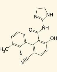 Cc1cccc(-c2c(C#N)ccc(O)c2C(=O)NC2=NCCN2)c1F